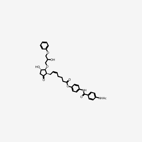 CC(=O)Nc1ccc(C(=O)Nc2ccc(OC(=O)CCC/C=C\C[C@H]3C(=O)C[C@H](O)[C@H]3OCC(O)COc3ccccc3)cc2)cc1